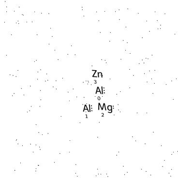 [Al].[Al].[Mg].[Zn]